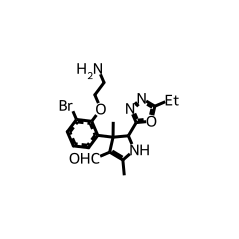 CCc1nnc(C2NC(C)=C(C=O)C2(C)c2cccc(Br)c2OCCN)o1